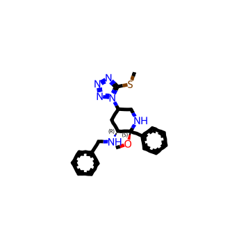 CO[C@]1(c2ccccc2)NCC(n2nnnc2SC)C[C@H]1NCc1ccccc1